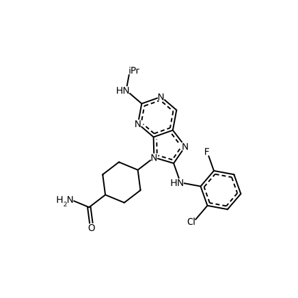 CC(C)Nc1ncc2nc(Nc3c(F)cccc3Cl)n(C3CCC(C(N)=O)CC3)c2n1